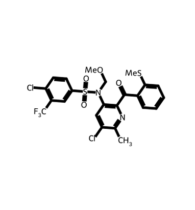 COCN(c1cc(Cl)c(C)nc1C(=O)c1ccccc1SC)S(=O)(=O)c1ccc(Cl)c(C(F)(F)F)c1